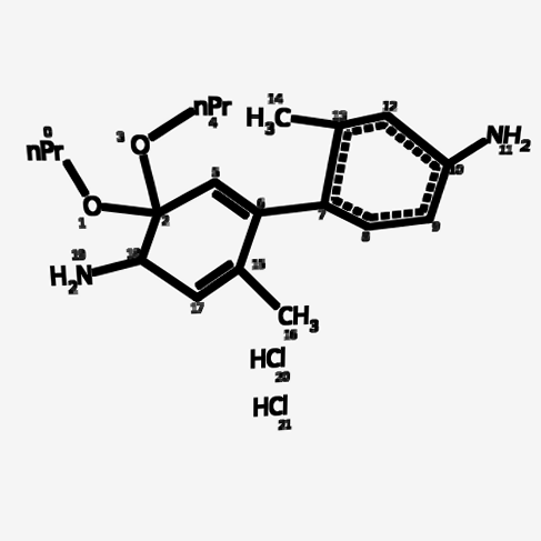 CCCOC1(OCCC)C=C(c2ccc(N)cc2C)C(C)=CC1N.Cl.Cl